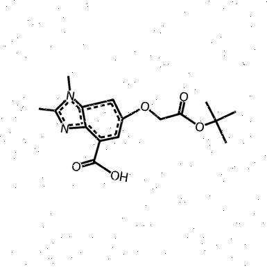 Cc1nc2c(C(=O)O)cc(OCC(=O)OC(C)(C)C)cc2n1C